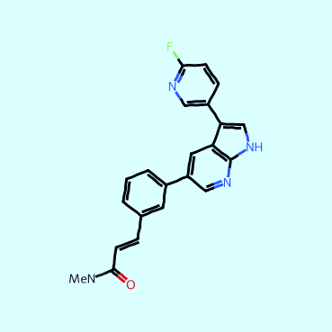 CNC(=O)C=Cc1cccc(-c2cnc3[nH]cc(-c4ccc(F)nc4)c3c2)c1